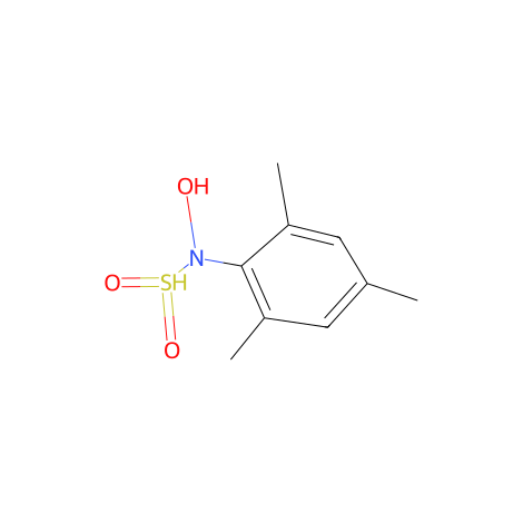 Cc1cc(C)c(N(O)[SH](=O)=O)c(C)c1